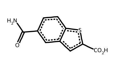 NC(=O)c1ccc2sc(C(=O)O)cc2c1